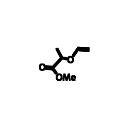 C=COC(C)C(=O)OC